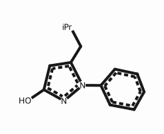 CC(C)Cc1cc(O)nn1-c1ccccc1